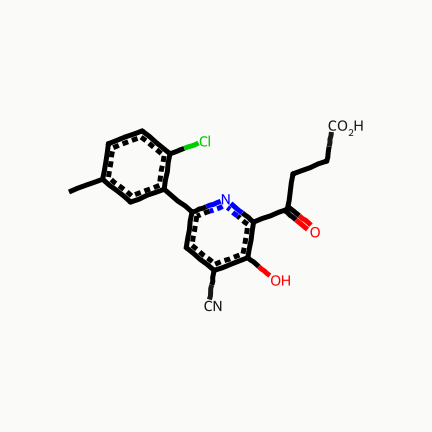 Cc1ccc(Cl)c(-c2cc(C#N)c(O)c(C(=O)CCC(=O)O)n2)c1